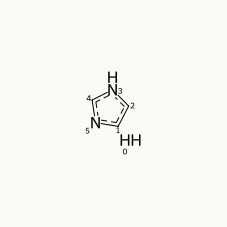 [HH].c1c[nH]cn1